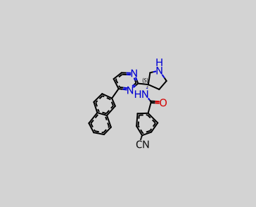 N#Cc1ccc(C(=O)N[C@@]2(c3nccc(-c4ccc5ccccc5c4)n3)CCNC2)cc1